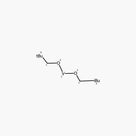 CCC(C)C[O][V][O]CC(C)(C)C